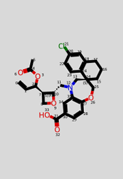 C=CC(OC(C)=O)[C@@H]1CO[C@H]1CN1C[C@@]2(CCCc3cc(Cl)ccc32)COc2ccc(C(=O)O)cc21